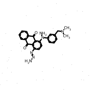 CN(C)Cc1cccc(N(N)c2ccc(N=NN)c3c2C(=O)c2ccccc2C3=O)c1